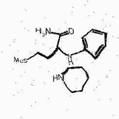 C1CCNCC1.CSCCC(Nc1ccccc1)C(N)=O